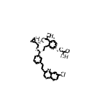 C=C(C)c1ccccc1CC[C@@H](SCC1CC1)c1cccc(C=Cc2ccc3ccc(Cl)cc3n2)c1.CC(=O)O